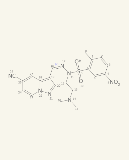 Cc1ccc([N+](=O)[O-])cc1S(=O)(=O)N(CCN(C)C)/N=C\c1cnn2ccc(C#N)cc12